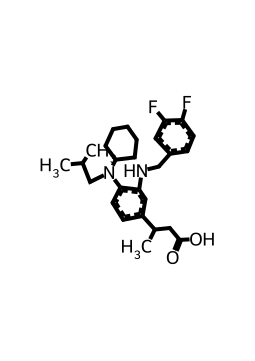 CC(C)CN(c1ccc(C(C)CC(=O)O)cc1NCc1ccc(F)c(F)c1)C1CCCCC1